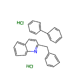 Cl.Cl.c1ccc(-c2ccccc2)cc1.c1ccc(Cc2ccc3ccccc3n2)cc1